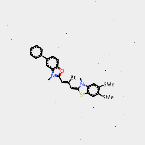 CC/C(C=C1Sc2cc(SC)c(SC)cc2N1C)=C\c1oc2ccc(-c3ccccc3)cc2[n+]1C